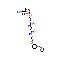 CC(C)(N)c1cccc(OCCCNC(=O)/C=C/C(=O)NCCCOc2cccc(CN3CCCC3)c2)c1